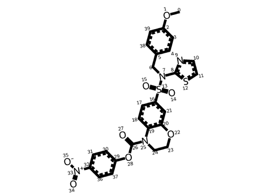 COc1ccc(CN(c2nccs2)S(=O)(=O)c2ccc3c(c2)OCCN3C(=O)Oc2ccc([N+](=O)[O-])cc2)cc1